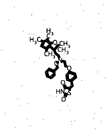 Cc1cc(C)c2c(c1C)OC(C)(C)C2CCN(CCOc1ccc(CC2SC(=O)NC2=O)cc1)OCc1ccccc1